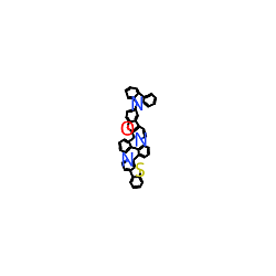 c1ccc(-c2nccc3c2oc2ccc(-n4c5ccccc5c5ccccc54)cc23)c(-c2ccccc2-c2nccc3c2sc2ccccc23)c1